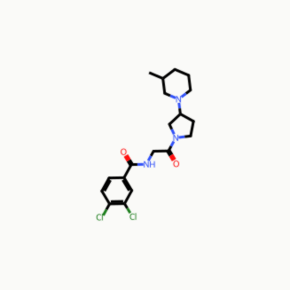 CC1CCCN(C2CCN(C(=O)CNC(=O)c3ccc(Cl)c(Cl)c3)C2)C1